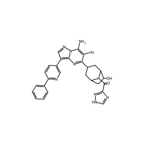 CC(=O)c1c(C2CC3CC(O)C(C2)N3C(=O)c2nc[nH]n2)nc2c(-c3ccc(-c4ccccc4)nc3)cnn2c1N